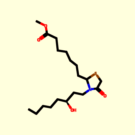 CCCCC[C@H](O)CCN1C(=O)CSC1CCCCCCC(=O)OC